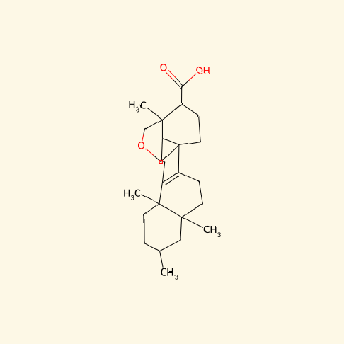 CC1CCC2(C)C3=C(CCC2(C)C1)C12CCC(C(=O)O)C(C)(COC1)C2CC3